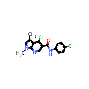 Cc1cn(C)c2ncc(C(=O)Nc3ccc(Cl)cc3)c(Cl)c12